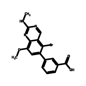 CNc1ncc2c(Br)c(-c3cccc(C(=O)O)c3)cc(OC)c2n1